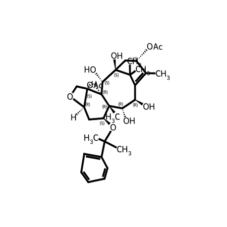 CC(=O)O[C@H]1C[C@@]2(O)[C@@H](O)[C@@H]3[C@]4(OC(C)=O)CO[C@@H]4C[C@H](OC(C)(C)c4ccccc4)[C@@]3(C)[C@@H](O)[C@H](O)C(=C1C)C2(C)C